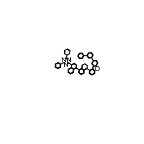 C1=CCC(c2nc(-c3ccccc3)nc(-c3ccc(-c4cccc5c4=CCCC=5c4cccc5oc6ccc(-c7cccc(-c8ccccc8)c7)cc6c45)c4ccccc34)n2)C=C1